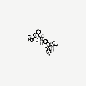 CCC(=O)N[C@@H](C(=O)N1CCN(C)CC1)[C@H](C)c1ccc(NC(=O)[C@@H](NC(=O)c2ccnn2CC)C2CCCCC2)cc1